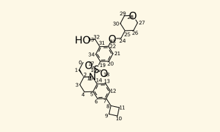 CC[C@@H]1CCc2cc(C3CCC3)ccc2N1S(=O)(=O)c1ccc(OCC2CCOCC2)c(CO)c1